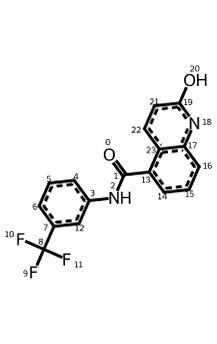 O=C(Nc1cccc(C(F)(F)F)c1)c1cccc2nc(O)ccc12